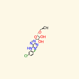 C#CCOC[C@H]1O[C@@H](n2cnc3c(Nc4cc(Cl)ccc4F)ncnc32)[C@H](O)[C@@H]1O